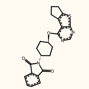 O=C1c2ccccc2C(=O)N1[C@H]1CC[C@H](Oc2ncnc3sc4c(c23)CCC4)CC1